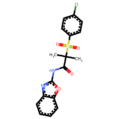 CC(C)(C(=O)Nc1nc2ccccc2o1)S(=O)(=O)c1ccc(Cl)cc1